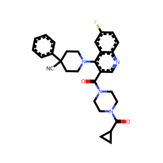 N#CC1(c2ccccc2)CCN(c2c(C(=O)N3CCN(C(=O)C4CC4)CC3)cnc3ccc(F)cc23)CC1